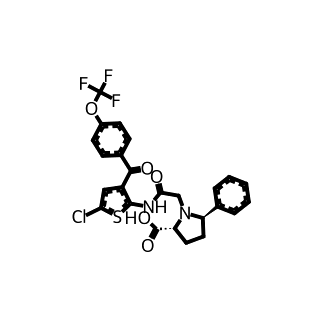 O=C(CN1[C@@H](C(=O)O)CC[C@@H]1c1ccccc1)Nc1sc(Cl)cc1C(=O)c1ccc(OC(F)(F)F)cc1